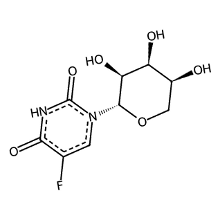 O=c1[nH]c(=O)n([C@H]2OC[C@H](O)[C@H](O)[C@@H]2O)cc1F